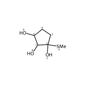 CSC1(O)CCC(O)C1O